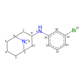 CN1C2CCCC1CC(Nc1cccc(Br)c1)C2